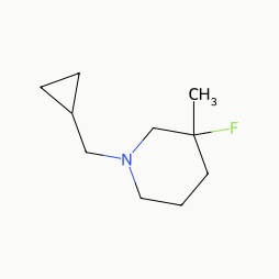 CC1(F)CCCN(CC2CC2)C1